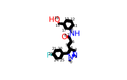 Cn1ncc(/C=C/C(=O)Nc2cccc(CO)c2)c1-c1ccc(F)cc1